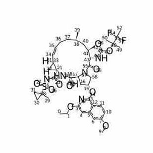 CCOc1cc2cc(OC)ccc2c(O[C@@H]2C[C@H]3C(=O)N[C@]4(C(=O)NS(=O)(=O)C5(C)CC5)C[C@H]4C=CCC[C@@H](C)C[C@@H](C)[C@H](NC(=O)OC(C)(C)C(C)(F)F)C(=O)N3C2)n1